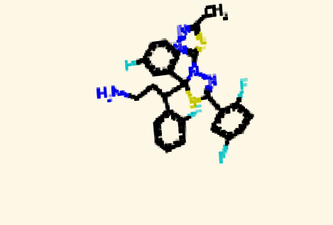 Cc1nnc(N2N=C(c3cc(F)ccc3F)SC2(c2cccc(F)c2)C(CCN)c2ccccc2F)s1